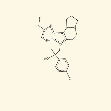 CC(O)(Cn1c2c(c3nc(CF)cnc31)C1CCCN1CC2)c1ccc(Cl)cc1